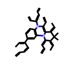 C=C/C=C\C(=C/C)c1ccc2c(c1)N1C(=C(C=C)N2/C(C=C)=C/C=C)/C(=C\C)C(C)(C)C(=C/C)/C1=C\C=C